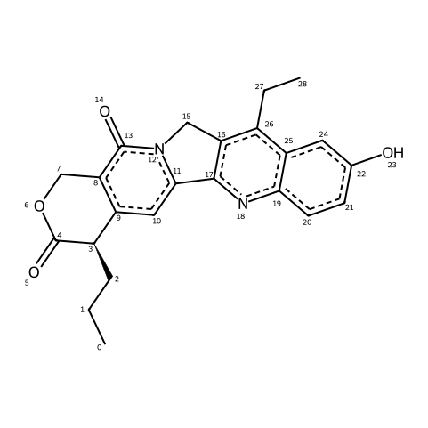 CCC[C@H]1C(=O)OCc2c1cc1n(c2=O)Cc2c-1nc1ccc(O)cc1c2CC